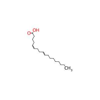 CCCCCCCCC=CCC/C=C\CCCC(=O)O